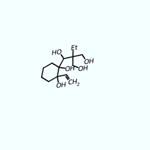 C=CC1(O)CCCCC1(O)C(O)C(CC)(CO)CO